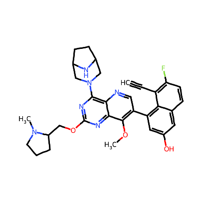 C#Cc1c(F)ccc2cc(O)cc(-c3cnc4c(N5CC6CCC(C5)N6)nc(OCC5CCCN5C)nc4c3OC)c12